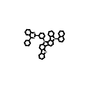 c1ccc(-c2nc(-c3cccc(-n4c5ccc6c7ccccc7oc6c5c5ccc6c(c7ccccc7n6-c6cccc7ccccc67)c54)c3)nc3ccccc23)cc1